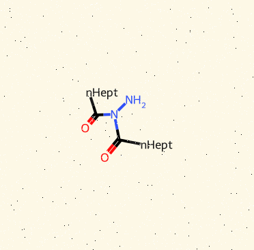 CCCCCCCC(=O)N(N)C(=O)CCCCCCC